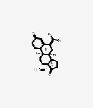 CC[C@]12CC[C@H]3[C@@H](CC(=C(Br)Br)C4=CC(=O)CC[C@@H]43)[C@@H]1CCC2=O